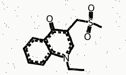 CCn1cc(CS(C)(=O)=O)c(=O)c2ccccc21